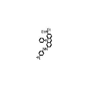 CCN(CC)c1ccc2cc3ccc(N=Nc4ccc(N(C)C)cc4)cc3[n+](-c3ccccc3)c2c1